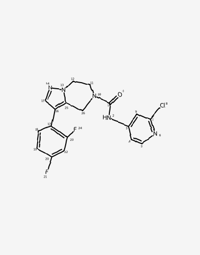 O=C(Nc1ccnc(Cl)c1)N1CCn2ncc(-c3ccc(F)cc3F)c2C1